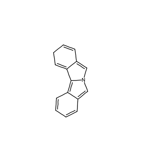 C1=Cc2cn3cc4ccccc4c3c2=CC1